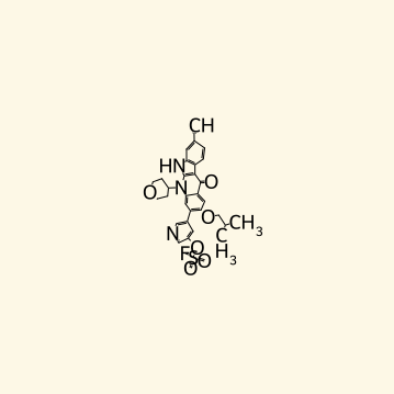 C#Cc1ccc2c(c1)[nH]c1c2c(=O)c2cc(OCC(C)C)c(-c3cncc(OS(=O)(=O)F)c3)cc2n1C1CCOCC1